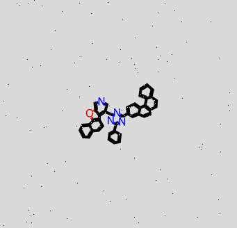 c1ccc(-c2nc(-c3ccc4c(ccc5ccc6ccccc6c54)c3)nc(-c3cncc4oc5c6ccccc6ccc5c34)n2)cc1